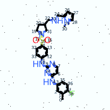 Cc1cc(Nc2ccnc(Nc3ccc(S(=O)(=O)N4CCC(CNCc5cccn5C)C4)cc3)n2)ccc1F